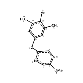 COc1cnc(Oc2cc(C)c(C(C)=O)c(C)c2)cn1